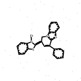 CCN1/C(=C2/C=C(c3ccccc3)c3sc4ccccc4[n+]3C2)Sc2ccccc21